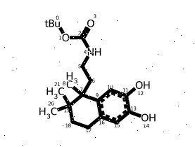 CC(C)(C)OC(=O)NCCC1(C)c2cc(O)c(O)cc2CCC1(C)C